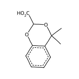 CC1(C)OC(C(=O)O)Oc2ccccc21